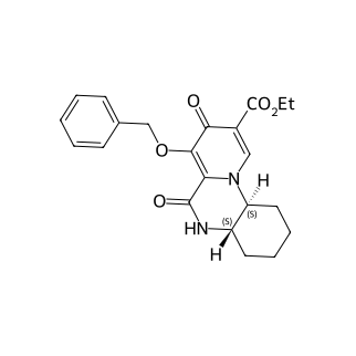 CCOC(=O)c1cn2c(c(OCc3ccccc3)c1=O)C(=O)N[C@H]1CCCC[C@@H]12